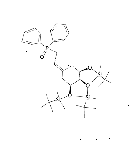 CC(C)(C)[Si](C)(C)O[C@H]1[C@@H](O[Si](C)(C)C(C)(C)C)CC(=CCP(=O)(c2ccccc2)c2ccccc2)C[C@H]1O[Si](C)(C)C(C)(C)C